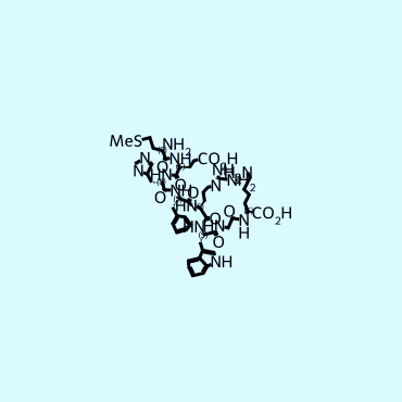 CSCC[C@H](N)C(=O)N[C@@H](CCC(=O)O)C(=O)N[C@@H](CC1C=NC=N1)C(=O)N[C@@H](Cc1ccccc1)C(=O)N[C@@H](CCCN=C(N)N)C(=O)N[C@@H](Cc1c[nH]c2ccccc12)C(=O)NCC(=O)N[C@@H](CCCCN)C(=O)O